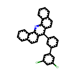 Clc1cc(Cl)cc(-c2cccc(-c3c4ccc5ccccc5c4nc4c3ccc3ccccc34)c2)c1